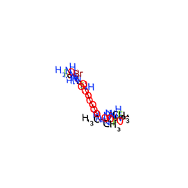 Cc1c(NC(=O)c2ccc(C3CC3)cc2F)cc(F)cc1-c1ncnc(N)c1OCCN(C)C(=O)/C=C/CN(C)CCOCCOCCOCCOCCOCCOCCNS(=O)(=O)c1ccc(Nc2ncc(Br)c(Nc3cccc(F)c3C(N)=O)n2)cc1